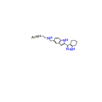 CC(=O)NCCNCc1ccc2[nH]c(-c3n[nH]c4c3CCCC4)cc2c1